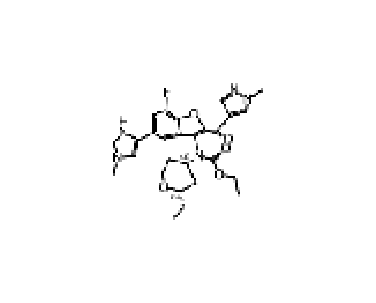 CCOC(=O)N(c1c(C(=O)c2cnn(C)c2)oc2c(F)cc(C3=CN(C)CN3)cc12)[C@H]1CCO[C@@H](CC)C1